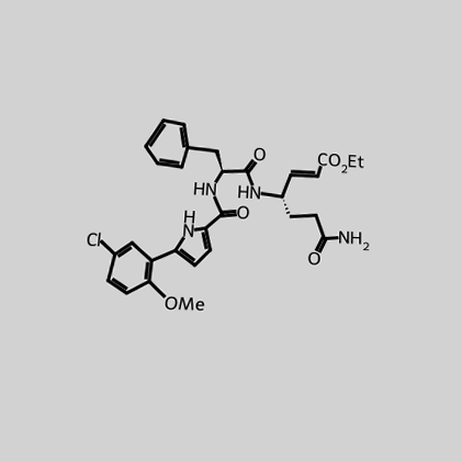 CCOC(=O)/C=C/[C@H](CCC(N)=O)NC(=O)[C@H](Cc1ccccc1)NC(=O)c1ccc(-c2cc(Cl)ccc2OC)[nH]1